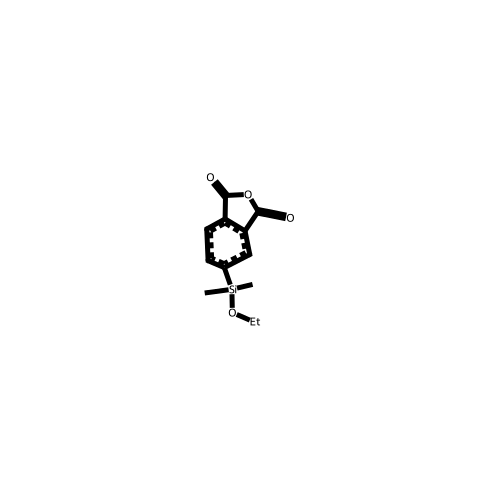 CCO[Si](C)(C)c1ccc2c(c1)C(=O)OC2=O